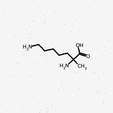 CC(N)(CCCCCN)C(=O)O